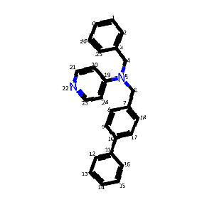 c1ccc(CN(Cc2ccc(-c3ccccc3)cc2)c2ccncc2)cc1